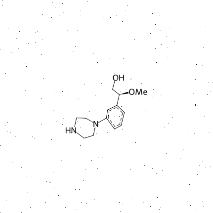 CO[C@H](CO)c1cccc(N2CCNCC2)c1